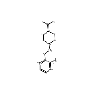 CC(C)C1CCC(OCc2ncccc2Br)CC1